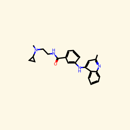 Cc1cc(Nc2cccc(C(=O)NCCN(C)C3CC3)c2)c2ccccc2n1